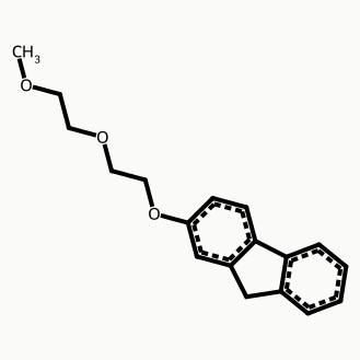 COCCOCCOc1ccc2c(c1)Cc1ccccc1-2